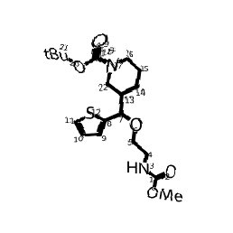 COC(=O)NCCOC(c1cccs1)C1CCCN(C(=O)OC(C)(C)C)C1